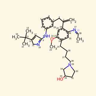 C=C(Cc1cccc(NC2=NCC(C(C)(C)C)=C2)c1)c1cc(OC)c(CCCCN2CCC(O)C2)cc1/N=C\C